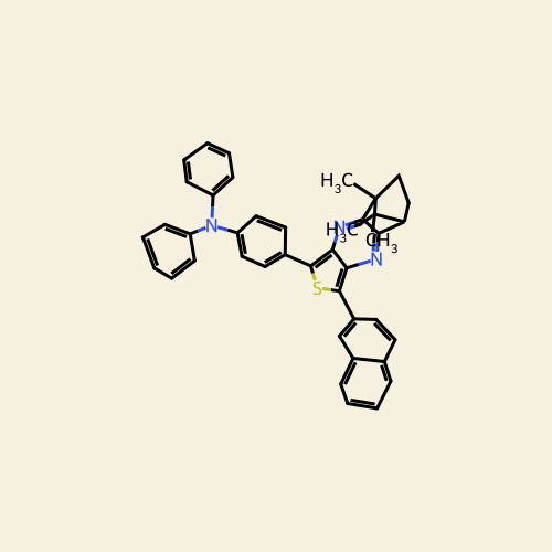 CC12CCC(c3nc4c(-c5ccc6ccccc6c5)sc(-c5ccc(N(c6ccccc6)c6ccccc6)cc5)c4nc31)C2(C)C